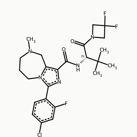 CN1CCCn2c(-c3ccc(Cl)cc3F)nc(C(=O)N[C@H](C(=O)N3CC(F)(F)C3)C(C)(C)C)c2C1